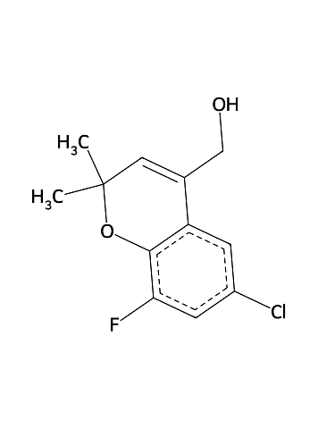 CC1(C)C=C(CO)c2cc(Cl)cc(F)c2O1